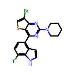 Fc1ccc(-c2nc(N3CCCCC3)nc3c(Br)csc23)c2cc[nH]c12